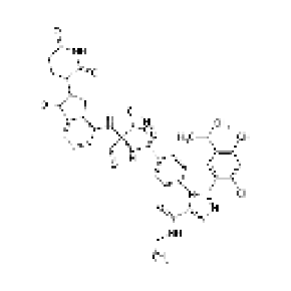 CCNC(=O)c1nnc(-c2cc(C(C)C)c(O)cc2O)n1-c1ccc(C(=O)N[C@@](C=O)(Nc2cccc3c2CN(C2CCC(=O)NC2=O)C3=O)C(C)C)cc1